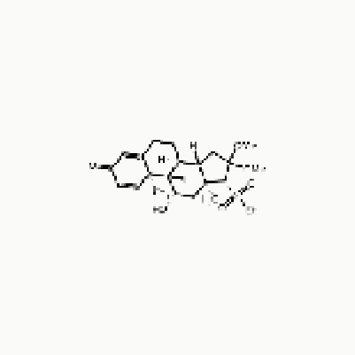 CCS(=O)(=O)[C@H]1C(OC)(OC)C[C@H]2[C@@H]3CCC4=CC(=O)C=C[C@]4(C)[C@@]3(F)[C@@H](O)C[C@@]21C